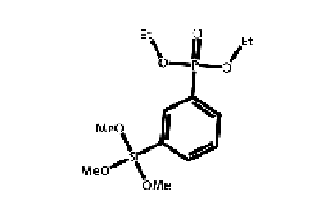 CCOP(=O)(OCC)c1cccc([Si](OC)(OC)OC)c1